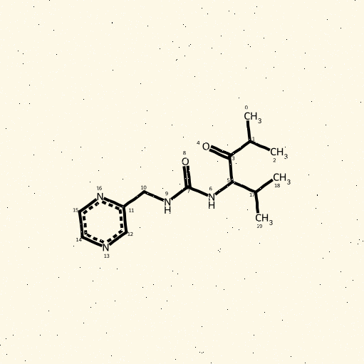 CC(C)C(=O)C(NC(=O)NCc1cnccn1)C(C)C